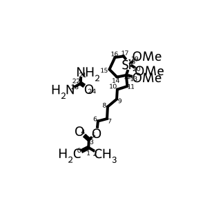 C=C(C)C(=O)OCCCCCCC1(OC)CCCC[Si]1(OC)OC.NC(N)=O